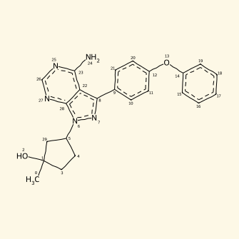 CC1(O)CCC(n2nc(-c3ccc(Oc4ccccc4)cc3)c3c(N)ncnc32)C1